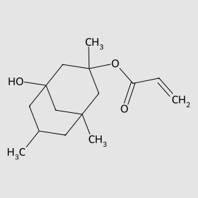 C=CC(=O)OC1(C)CC2(C)CC(C)CC(O)(C2)C1